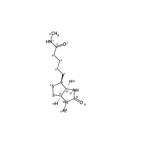 CNC(=O)CCCC[C@@H]1SC[C@H]2[C@@H]1NC(=O)[N]2[Rf]